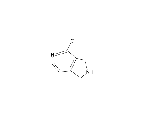 Clc1nccc2c1CNC2